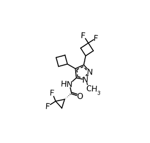 Cn1nc(C2CC(F)(F)C2)c(C2CCC2)c1NC(=O)[C@@H]1CC1(F)F